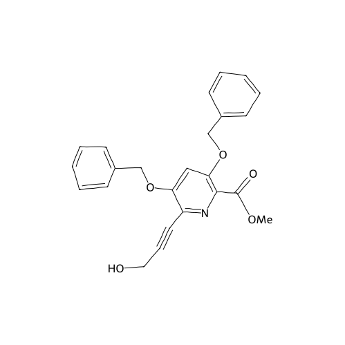 COC(=O)c1nc(C#CCO)c(OCc2ccccc2)cc1OCc1ccccc1